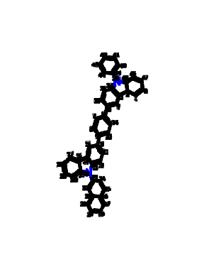 C1=CC2c3cc(-c4ccc(-c5ccc6c(c5)c5ccccc5n6-c5ccc6ccccc6c5)cc4)ccc3N(c3ccccc3)C2C=C1